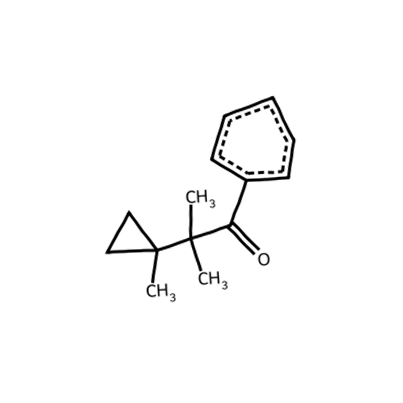 CC1(C(C)(C)C(=O)c2ccccc2)CC1